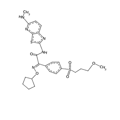 CNc1ccc2nc(NC(=O)/C(=N/OC3CCCC3)c3ccc(S(=O)(=O)CCCOC)cc3)sc2n1